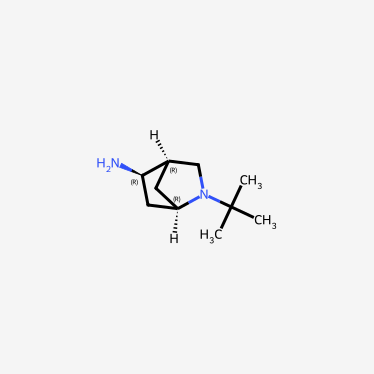 CC(C)(C)N1C[C@H]2C[C@@H]1C[C@H]2N